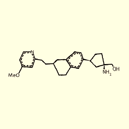 COc1ccnc(CCC2CCc3cc([C@H]4CC[C@](N)(CO)C4)ccc3C2)c1